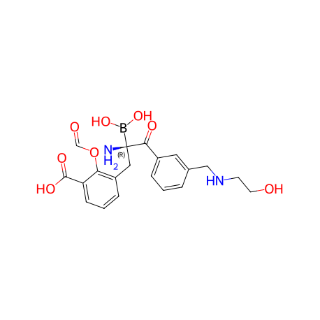 N[C@@](Cc1cccc(C(=O)O)c1OC=O)(B(O)O)C(=O)c1cccc(CNCCO)c1